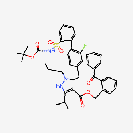 CCCN1NC(C(C)C)=C(C(=O)OCc2ccccc2C(=O)c2ccccc2)C1Cc1ccc(-c2ccccc2S(=O)(=O)NC(=O)OC(C)(C)C)c(F)c1